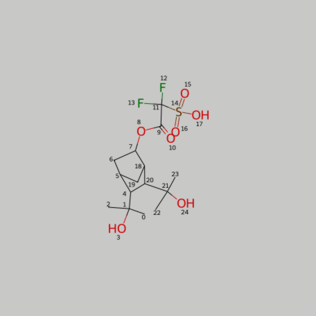 CC(C)(O)C1C2CC(OC(=O)C(F)(F)S(=O)(=O)O)C(C2)C1C(C)(C)O